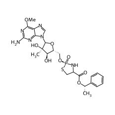 COc1nc(N)nc2c1ncn2C1O[C@H](CO[P@@]2(=O)NC(C(=O)O[C@@H](C)c3ccccc3)CS2)[C@@H](O)[C@@]1(C)O